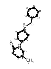 Cc1ccc(=O)n(-c2ccc(OCc3ccccc3)cc2)c1